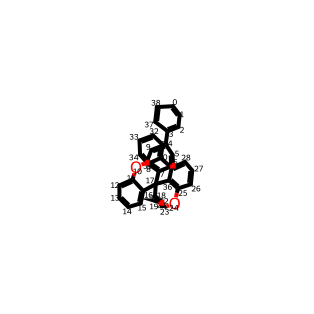 c1ccc(-c2ccc3c(c2)Oc2ccccc2C32c3ccccc3Oc3cccc(-c4ccccc4)c32)cc1